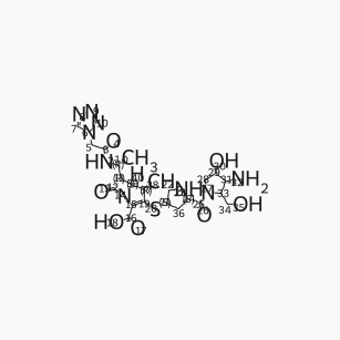 C[C@@H](NC(=O)Cn1cnnn1)[C@H]1C(=O)N2C(C(=O)O)=C(S[C@@H]3CN[C@H](C(=O)N4CC(O)C(N)C4CO)C3)[C@H](C)[C@H]12